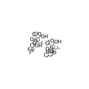 CC(C)CC1(C(=O)O)CC(C(=O)O)C(c2ccco2)N1C(=O)c1ccc(C(F)(F)F)cc1.CC(C)CC1(C(=O)O)CC(C(=O)O)C(c2cccs2)N1C(=O)c1cccc2ccccc12